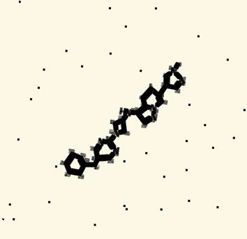 Cn1cc(-c2ccc3c(NC4CN(c5ncc(Cc6ccccc6)cn5)C4)cnn3c2)cn1